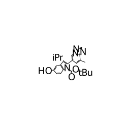 Cc1cc(-c2c(C(C)C)c3cc(O)ccc3n2C(=O)OC(C)(C)C)cn2ncnc12